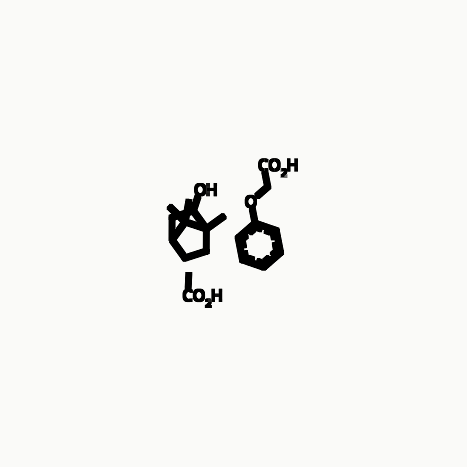 CC(=O)O.CC1(C)C2CCC1(C)C(O)C2.O=C(O)COc1ccccc1